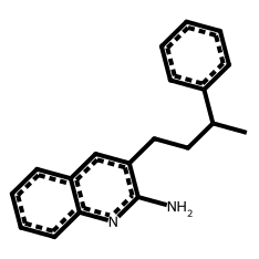 CC(CCc1cc2ccccc2nc1N)c1ccccc1